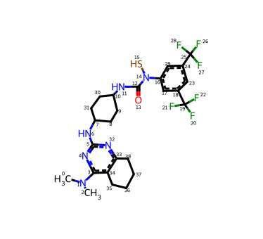 CN(C)c1nc(NC2CCC(NC(=O)N(S)c3cc(C(F)(F)F)cc(C(F)(F)F)c3)CC2)nc2c1CCCC2